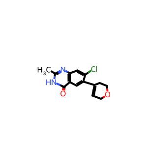 Cc1nc2cc(Cl)c(C3=CCOCC3)cc2c(=O)[nH]1